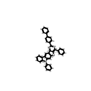 c1ccc(-c2ccc(-c3nc(-c4ccccc4)c4oc5cc6c(cc5c4n3)c3ccccc3n6-c3ccccc3)cc2)cc1